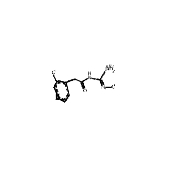 NC(=NCl)NC(=O)Cc1ccccc1Cl